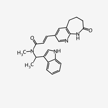 CC(c1c[nH]c2ccccc12)N(C)C(=O)/C=C/c1cnc2c(c1)CCCC(=O)N2